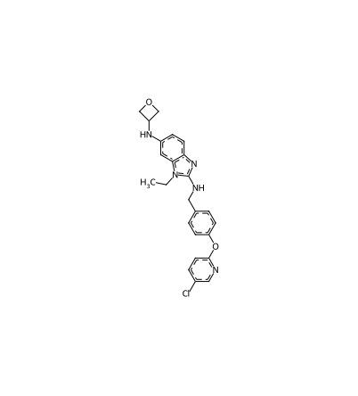 CCn1c(NCc2ccc(Oc3ccc(Cl)cn3)cc2)nc2ccc(NC3COC3)cc21